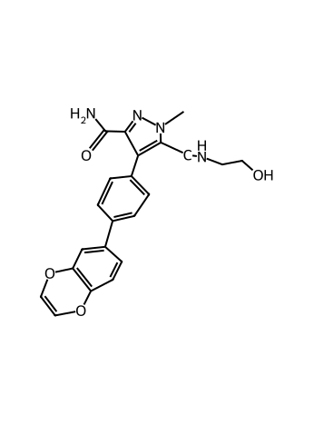 Cn1nc(C(N)=O)c(-c2ccc(-c3ccc4c(c3)OC=CO4)cc2)c1CNCCO